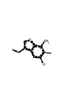 Cc1c(F)c(Cl)cc2c(CI)coc12